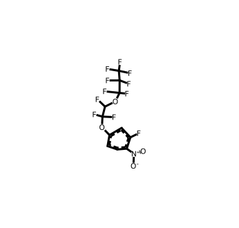 O=[N+]([O-])c1ccc(OC(F)(F)C(F)OC(F)(F)C(F)(F)C(F)(F)F)cc1F